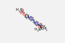 COC(=O)COc1ccc(N2CCN(CCN3CCN(C(=O)OC(C)(C)C)CC3)CC2)cc1